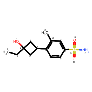 CCC1(O)CC(c2ccc(S(N)(=O)=O)cc2C)C1